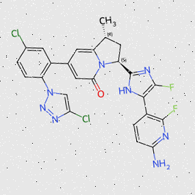 C[C@@H]1C[C@@H](c2nc(F)c(-c3ccc(N)nc3F)[nH]2)n2c1cc(-c1cc(Cl)ccc1-n1cc(Cl)nn1)cc2=O